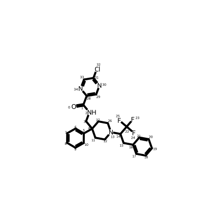 O=C(NCC1(c2ccccc2)CCN(C(Cc2ccccc2)C(F)(F)F)CC1)c1cnc(Cl)cn1